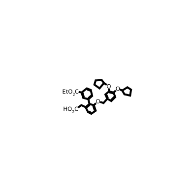 CCOC(=O)c1cccc(-c2c(CC(=O)O)cccc2OCc2ccc(OC3CCCC3)c(OC3CCCC3)c2)c1